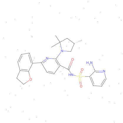 C[C@@H]1CN(c2nc(-c3cccc4c3OCC4)ccc2C(=O)NS(=O)(=O)c2cccnc2N)C(C)(C)C1